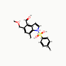 COCc1cc(C)c2c(ccn2S(=O)(=O)c2ccc(C)cc2)c1C=O